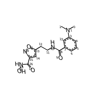 CN(C)c1cccc(C(=O)NCCc2cc(C(=O)NO)no2)c1